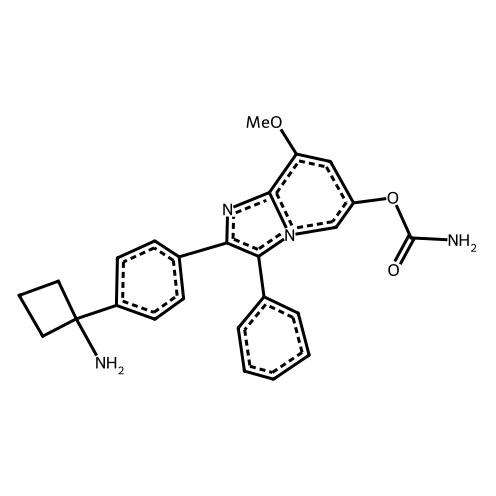 COc1cc(OC(N)=O)cn2c(-c3ccccc3)c(-c3ccc(C4(N)CCC4)cc3)nc12